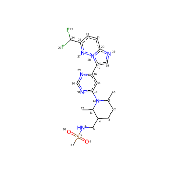 CC1CCC(CNS(C)(=O)=O)C(C)N1c1cc(-c2cnc3ccc(C(F)F)nn23)ncn1